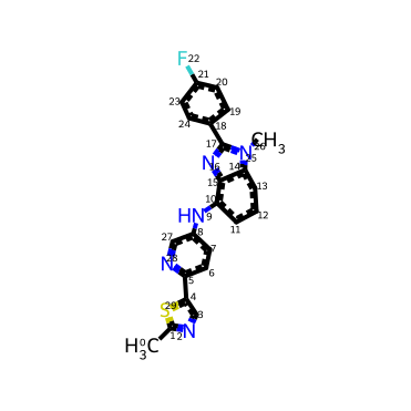 Cc1ncc(-c2ccc(Nc3cccc4c3nc(-c3ccc(F)cc3)n4C)cn2)s1